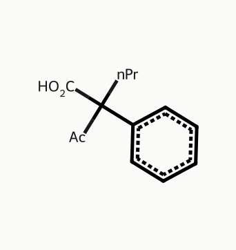 CCCC(C(C)=O)(C(=O)O)c1ccccc1